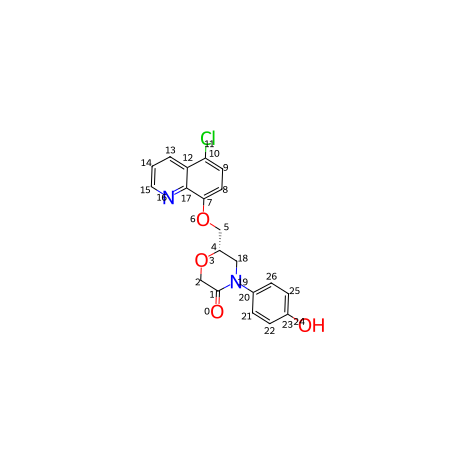 O=C1CO[C@H](COc2ccc(Cl)c3cccnc23)CN1c1ccc(O)cc1